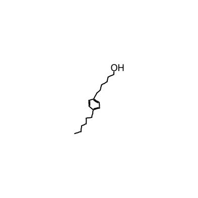 CCCCCCc1ccc(CCCCCCO)cc1